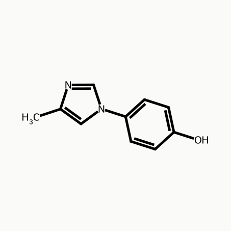 Cc1cn(-c2ccc(O)cc2)cn1